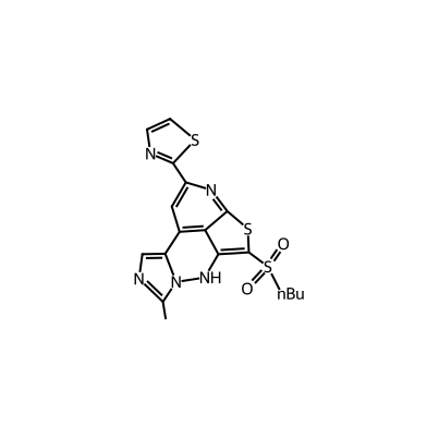 CCCCS(=O)(=O)c1sc2nc(-c3nccs3)cc3c2c1[nH]n1c(C)ncc31